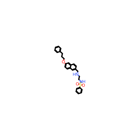 O=S(=O)(NCCNCc1ccc2cc(OCCCc3ccccc3)ccc2c1)c1ccccc1